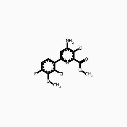 COC(=O)c1nc(-c2ccc(F)c(OC)c2Cl)cc(N)c1Cl